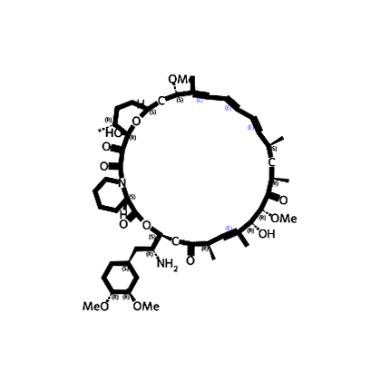 CO[C@H]1C[C@@H]2CC[C@@H](C)[C@@](O)(O2)C(=O)C(=O)N2CCCC[C@H]2C(=O)O[C@H]([C@H](N)C[C@@H]2CC[C@@H](OC)[C@H](OC)C2)CC(=O)[C@H](C)/C=C(\C)[C@@H](O)[C@@H](OC)C(=O)[C@H](C)C[C@H](C)/C=C/C=C/C=C/1C